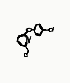 ClCc1cccc(Oc2ccc(Cl)cc2)n1